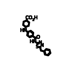 O=C(Nc1nnc(Cc2ccccc2)s1)c1ccc(NC2CCC(C(=O)O)CC2)cc1